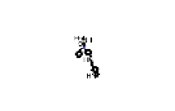 O=C(/C=C(\Cc1ccccc1)c1ccc(CNCCc2ccc3cc[nH]c3c2)cc1)NO